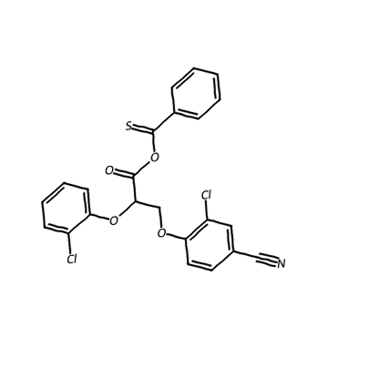 N#Cc1ccc(OCC(Oc2ccccc2Cl)C(=O)OC(=S)c2ccccc2)c(Cl)c1